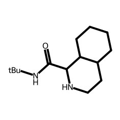 CC(C)(C)NC(=O)C1NCCC2CCCCC21